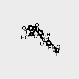 O=C(O)c1ccc2c(c1)C1(OC2=O)c2ccc(O)cc2Oc2c1ccc(O)c2CNC(=O)c1ccc(CNC(=O)C(F)(F)F)cc1